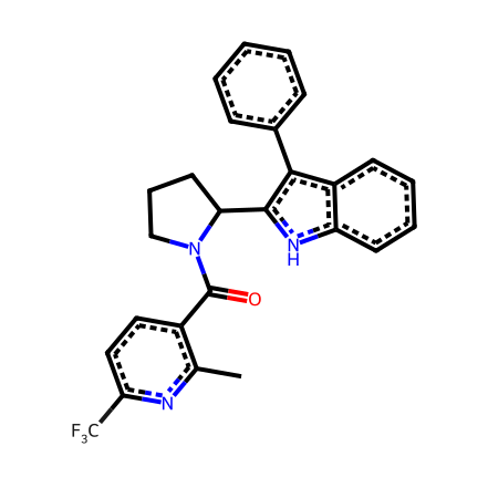 Cc1nc(C(F)(F)F)ccc1C(=O)N1CCCC1c1[nH]c2ccccc2c1-c1ccccc1